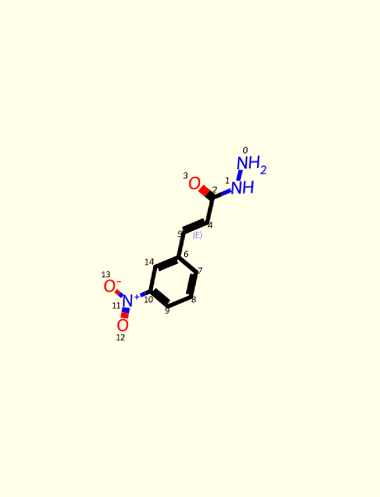 NNC(=O)/C=C/c1cccc([N+](=O)[O-])c1